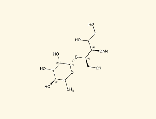 CO[C@H](C(O)CO)[C@@H](CO)O[C@@H]1OC(C)[C@@H](O)C(O)[C@@H]1O